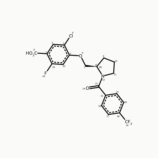 O=C(O)c1cc(Cl)c(OC[C@H]2CCCN2C(=O)c2ccc(C(F)(F)F)cc2)cc1F